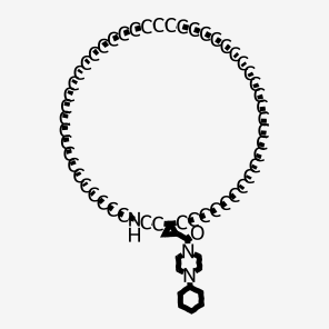 O=C(C1CC12CCCCCCCCCCCCCCCCCCCCCCCCCCCCCCCCCCCCCCCCCCCCCCCCNCC2)N1CCN(C2CCCCC2)CC1